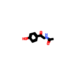 CC(=O)NCC(=O)c1ccc(O)cc1